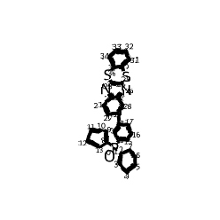 O=P(c1ccccc1)(c1ccccc1)c1cccc(-c2ccc3nc4c(nc3c2)Sc2ccccc2S4)c1